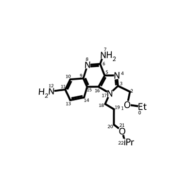 CCOCc1nc2c(N)nc3cc(N)ccc3c2n1CCCOC(C)C